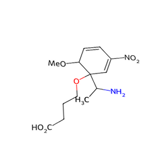 COC1C=CC([N+](=O)[O-])=CC1(OCCCC(=O)O)C(C)N